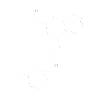 COc1cc(CCNc2cc(Cl)ncn2)c2ccccc2c1